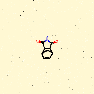 O=C1NC(=O)C2C3C=CC(CC3)C12